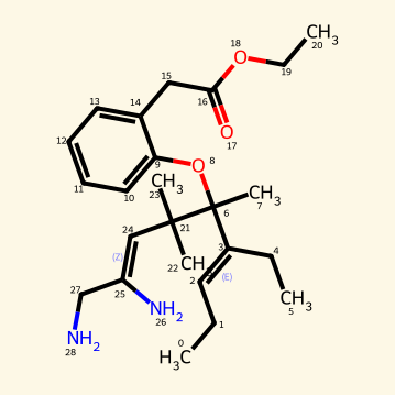 CC/C=C(\CC)C(C)(Oc1ccccc1CC(=O)OCC)C(C)(C)/C=C(\N)CN